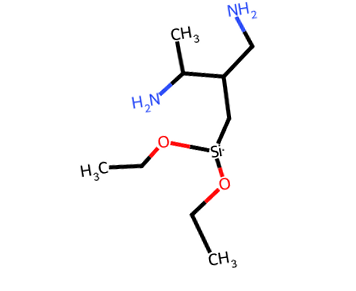 CCO[Si](CC(CN)C(C)N)OCC